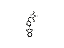 O=C1NC(=O)/C(=C\c2ccc(-c3nc4ccccc4[nH]3)cc2)S1